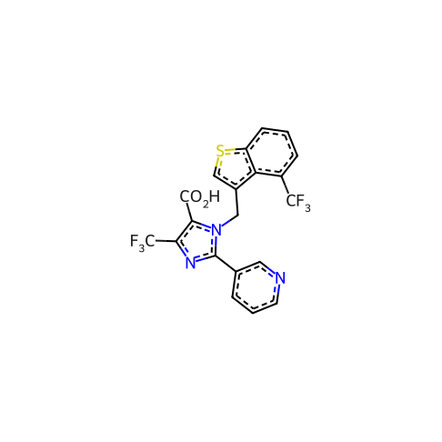 O=C(O)c1c(C(F)(F)F)nc(-c2cccnc2)n1Cc1csc2cccc(C(F)(F)F)c12